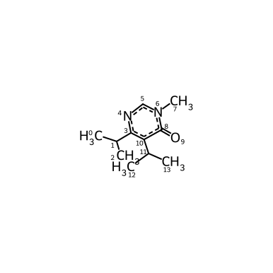 CC(C)c1ncn(C)c(=O)c1C(C)C